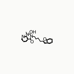 CN1c2ncccc2C(=O)N(CCCCc2cc3ccccc3o2)C1O